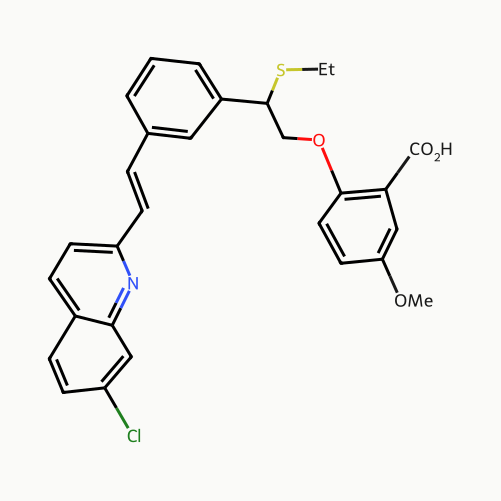 CCSC(COc1ccc(OC)cc1C(=O)O)c1cccc(/C=C/c2ccc3ccc(Cl)cc3n2)c1